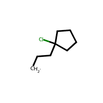 [CH2]CCC1(Cl)CCCC1